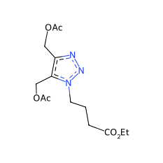 CCOC(=O)CCCn1nnc(COC(C)=O)c1COC(C)=O